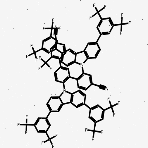 N#Cc1ccc(-c2cc(-c3ccc(C#N)cc3C(F)(F)F)ccc2-n2c3ccc(-c4cc(C(F)(F)F)cc(C(F)(F)F)c4)cc3c3cc(-c4cc(C(F)(F)F)cc(C(F)(F)F)c4)ccc32)c(-n2c3ccc(-c4cc(C(F)(F)F)cc(C(F)(F)F)c4)cc3c3cc(-c4cc(C(F)(F)F)cc(C(F)(F)F)c4)ccc32)c1